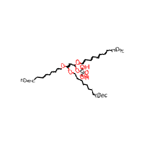 CCCCCCCCCCCCCCCCCCOC(=CC(OCCCCCCCCCCCCCCCCCC)O[Si](O)(O)O)OCCCCCCCCCCCCCCCCCC